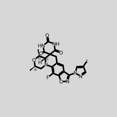 C[C@@H]1CN2c3c(cc4c(-n5cc(I)cn5)noc4c3F)CC3(C(=O)NC(=O)NC3=O)[C@H]2[C@H](C)O1